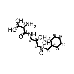 CC(O)C(N)C(=O)NCC(O)CP(=O)(O)CC1CCCCC1